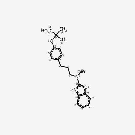 CC(C)N(CCCc1ccc(OC(C)(C)C(=O)O)cc1)c1nc2ccccc2o1